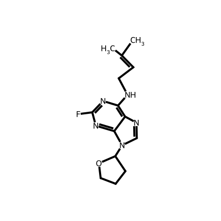 CC(C)=CCNc1nc(F)nc2c1ncn2C1CCCO1